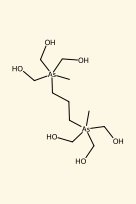 C[As](CO)(CO)(CO)CCC[As](C)(CO)(CO)CO